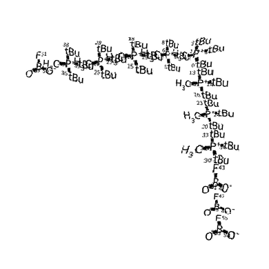 CC(C)(C)[P+](C)(C(C)(C)C)C(C)(C)C.CC(C)(C)[P+](C)(C(C)(C)C)C(C)(C)C.CC(C)(C)[P+](C)(C(C)(C)C)C(C)(C)C.CC(C)(C)[P+](C)(C(C)(C)C)C(C)(C)C.CC(C)(C)[P+](C)(C(C)(C)C)C(C)(C)C.CC(C)(C)[P+](C)(C(C)(C)C)C(C)(C)C.CC(C)(C)[P+](C)(C(C)(C)C)C(C)(C)C.CC(C)(C)[P+](C)(C(C)(C)C)C(C)(C)C.[O-]B([O-])F.[O-]B([O-])F.[O-]B([O-])F.[O-]B([O-])F